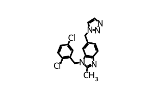 Cc1nc2ccc(Cn3ccnn3)cc2n1Cc1cc(Cl)ccc1Cl